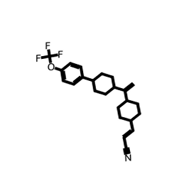 C=C(C1CCC(C=CC#N)CC1)C1CCC(c2ccc(OC(F)(F)F)cc2)CC1